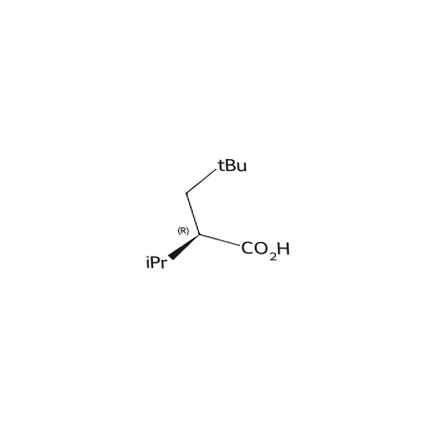 CC(C)[C@@H](CC(C)(C)C)C(=O)O